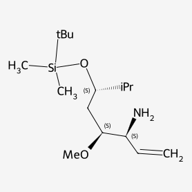 C=C[C@H](N)[C@H](C[C@H](O[Si](C)(C)C(C)(C)C)C(C)C)OC